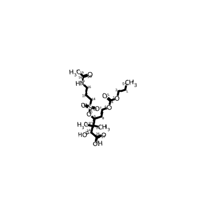 CCCOC(=O)OCCC(OS(=O)(=O)CCCNC(C)=O)C(C)(C)[C@@H](O)C(=O)O